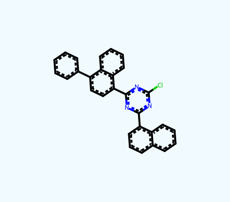 Clc1nc(-c2cccc3ccccc23)nc(-c2ccc(-c3ccccc3)c3ccccc23)n1